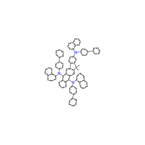 CC1(C)c2cc(N(c3ccc(-c4ccccc4)cc3)c3cccc4ccccc34)ccc2-c2cc3c(N(c4ccc(-c5ccccc5)cc4)c4cccc5ccccc45)c4ccccc4c(N(c4ccc(-c5ccccc5)cc4)c4cccc5ccccc45)c3cc21